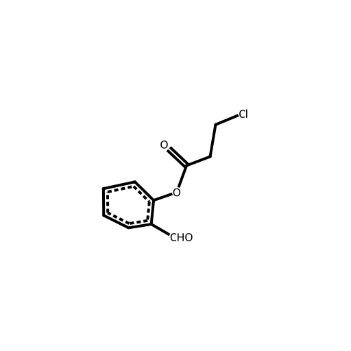 O=Cc1ccccc1OC(=O)CCCl